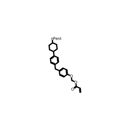 C=CC(=O)OCOc1ccc(Cc2ccc(C3CCC(CCCCC)CC3)cc2)cc1